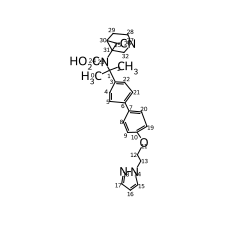 CC(C)(c1ccc(-c2ccc(OCCn3cccn3)cc2)cc1)N(C(=O)O)C1CN2CCC1CC2